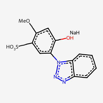 COc1cc(O)c(-n2nnc3ccccc32)cc1S(=O)(=O)O.[NaH]